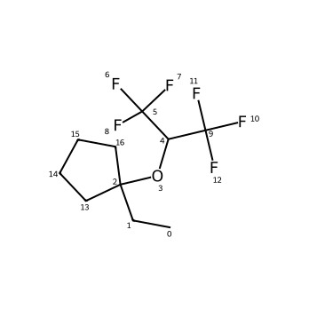 CCC1(OC(C(F)(F)F)C(F)(F)F)CCCC1